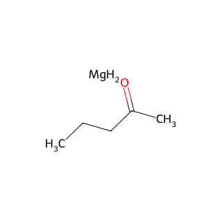 CCCC(C)=O.[MgH2]